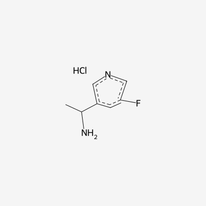 CC(N)c1cncc(F)c1.Cl